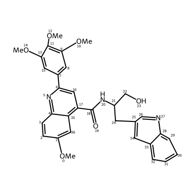 COc1ccc2nc(-c3cc(OC)c(OC)c(OC)c3)cc(C(=O)NC(CO)Cc3cnc4ccccc4c3)c2c1